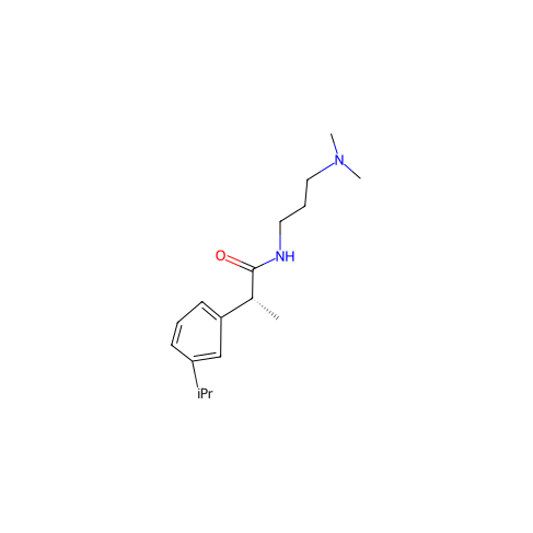 CC(C)c1cccc([C@@H](C)C(=O)NCCCN(C)C)c1